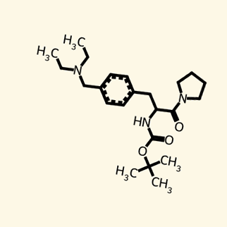 CCN(CC)Cc1ccc(CC(NC(=O)OC(C)(C)C)C(=O)N2CCCC2)cc1